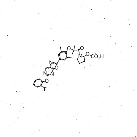 Cc1cc(-c2nc3cnc(Oc4ccccc4F)nc3o2)cc(C)c1OC(C)(C)C(=O)N1CCC[C@@H]1OC(=O)O